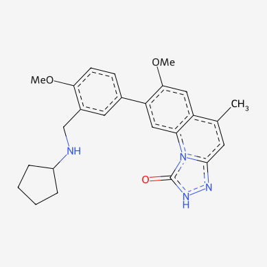 COc1ccc(-c2cc3c(cc2OC)c(C)cc2n[nH]c(=O)n23)cc1CNC1CCCC1